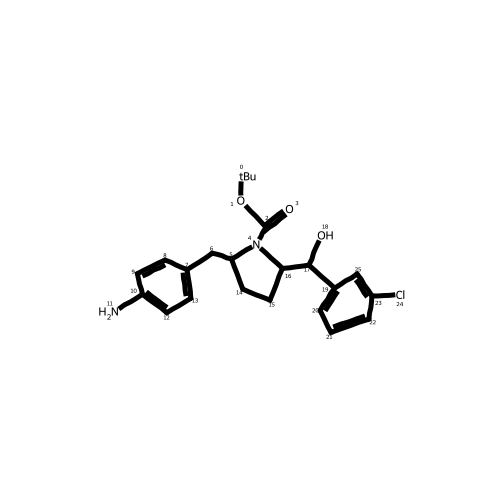 CC(C)(C)OC(=O)N1C(Cc2ccc(N)cc2)CCC1C(O)c1cccc(Cl)c1